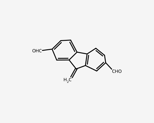 C=C1c2cc(C=O)ccc2-c2ccc(C=O)cc21